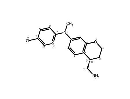 CN(c1ccc2c(c1)OCC[C@H]2CN)c1ccc(Cl)cn1